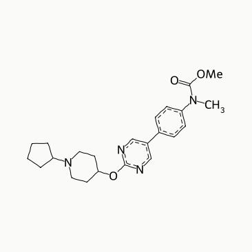 COC(=O)N(C)c1ccc(-c2cnc(OC3CCN(C4CCCC4)CC3)nc2)cc1